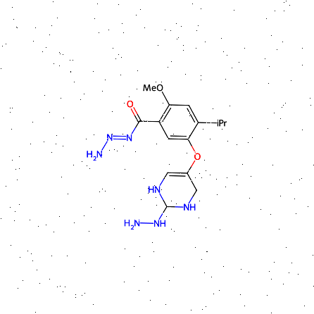 COc1cc(C(C)C)c(OC2=CNC(NN)NC2)cc1C(=O)N=NN